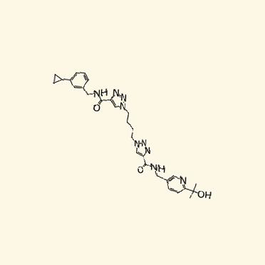 CC(C)(O)c1ccc(CNC(=O)c2cn(CCCCn3cc(C(=O)NCc4cccc(C5CC5)c4)nn3)nn2)cn1